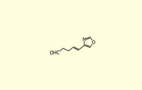 O=CCCC=Cc1cocn1